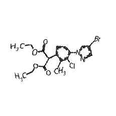 CCOC(=O)C(C(=O)OCC)c1ccc(-n2cc(Br)cn2)c(Cl)c1C